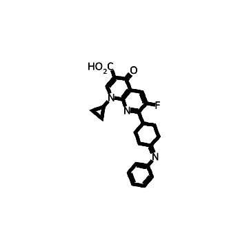 O=C(O)c1cn(C2CC2)c2nc(C3CCC(=Nc4ccccc4)CC3)c(F)cc2c1=O